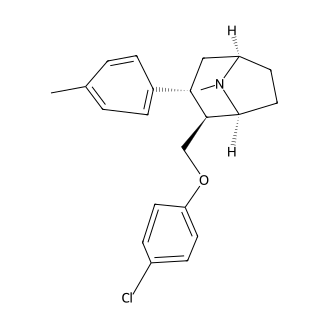 Cc1ccc([C@@H]2C[C@H]3CC[C@@H]([C@H]2COc2ccc(Cl)cc2)N3C)cc1